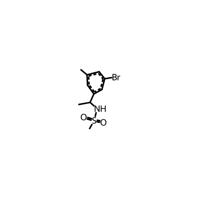 Cc1cc(Br)cc(C(C)NS(C)(=O)=O)c1